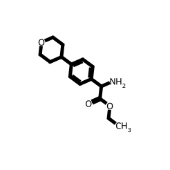 CCOC(=O)C(N)c1ccc(C2CCOCC2)cc1